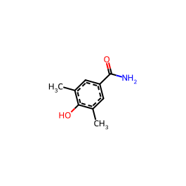 Cc1cc(C(N)=O)cc(C)c1O